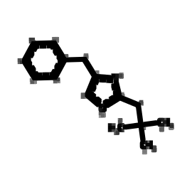 CC(C)(C)Cc1nc(Cc2ccccc2)co1